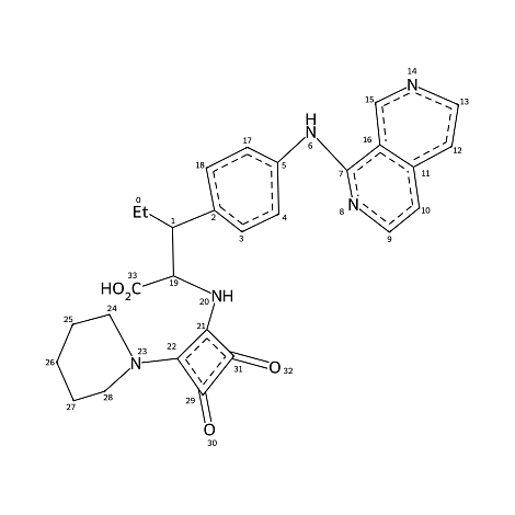 CCC(c1ccc(Nc2nccc3ccncc23)cc1)C(Nc1c(N2CCCCC2)c(=O)c1=O)C(=O)O